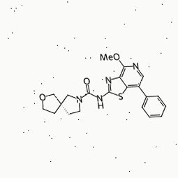 COc1ncc(-c2ccccc2)c2sc(NC(=O)N3CC[C@@]4(CCOC4)C3)nc12